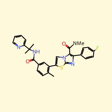 CNC(=O)c1c(-c2ccc(F)cc2)nc2sc(-c3cc(C(=O)NC(C)(C)c4ccccn4)ccc3C)cn12